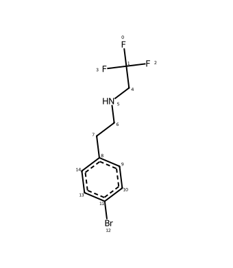 FC(F)(F)CNCCc1ccc(Br)cc1